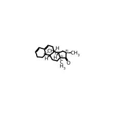 C[C@@H]1C[C@H]2[C@@H]3CC=C4C=CCC[C@]4(C)[C@H]3CC[C@]2(C)C1=O